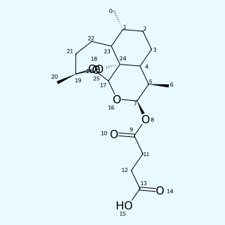 C[C@@H]1CCC2[C@@H](C)[C@@H](OC(=O)CCC(=O)O)OC3O[C@@]4(C)CCC1[C@]32OO4